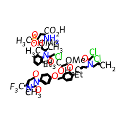 C=CCN(CC=C)C(=O)C(Cl)Cl.CCc1ccc(COc2ccc(-n3c(=O)cc(C(F)(F)F)n(C)c3=O)cc2)c(OC(C)C(=O)OC)c1.CCc1cccc(C)c1N(C(=O)CCl)C(C)COC.CP(=O)(O)CCC(N)C(=O)O